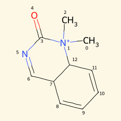 C[N+]1(C)C(=O)N=CC2C=CC=CC21